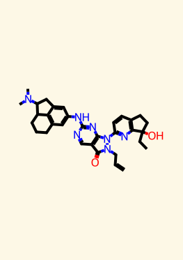 C=CCn1c(=O)c2cnc(Nc3cc4c5c(c3)CC(N(C)C)C5CCC4)nc2n1-c1ccc2c(n1)C(O)(CC)CC2